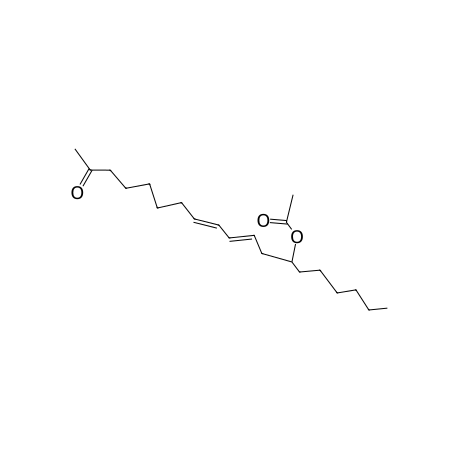 CCCCCCC(CC=CC=CCCCCCC(C)=O)OC(C)=O